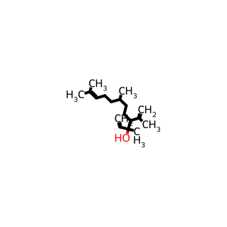 C=CC(C)(O)C(CCC(C)CCC=C(C)C)C(=C)C